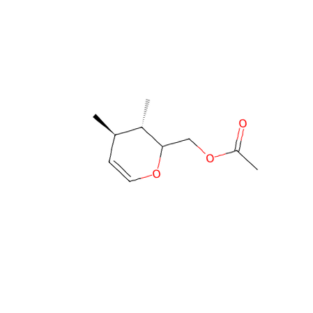 CC(=O)OCC1OC=C[C@@H](C)[C@@H]1C